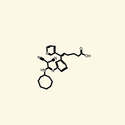 N#CC(C#N)C(=Nc1cccc(/C(=C\CCCC(=O)O)c2cccnc2)c1)NC1CCCCCCC1